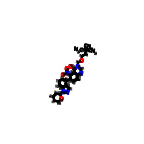 C[Si](C)(C)CCOCn1cnc2ccc(-c3cccc4c3cnn4C3CCCCO3)c([N+](=O)[O-])c2c1=O